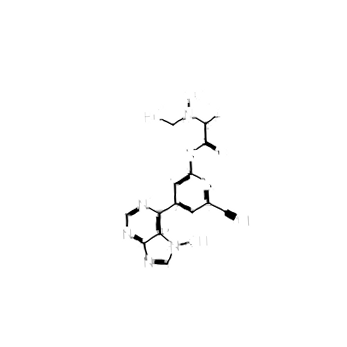 C#Cc1cc(-c2ncnc3ncn(C)c23)cc(NC(=O)C(C)N(CC(C)(C)C)C(=O)O)n1